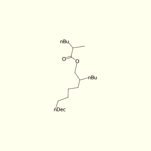 CCCCCCCCCCCCCCC(CCCC)COC(=O)C(C)CCCC